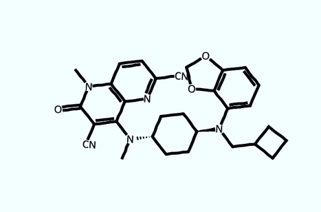 Cn1c(=O)c(C#N)c(N(C)[C@H]2CC[C@H](N(CC3CCC3)c3cccc4c3OCO4)CC2)c2nc(C#N)ccc21